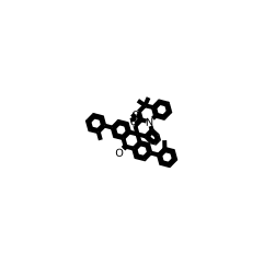 Cc1ccccc1-c1ccc2c(c1)C(=O)c1ccc(-c3ccccc3C)cc1C21c2ccccc2N2c3ccccc3C(C)(C)c3cccc1c32